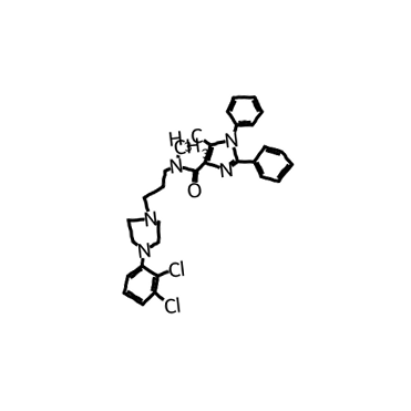 Cc1c(C(=O)N(C)CCCN2CCN(c3cccc(Cl)c3Cl)CC2)nc(-c2ccccc2)n1-c1ccccc1